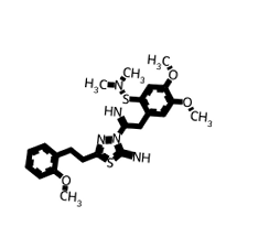 COc1ccccc1CCc1nn(C(=N)Cc2cc(OC)c(OC)cc2SN(C)C)c(=N)s1